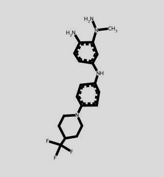 CN(N)c1cc(Nc2ccc(N3CCC(C(F)(F)F)CC3)cc2)ccc1N